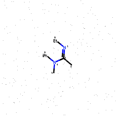 CC/N=C(/C)N(C)C(C)C